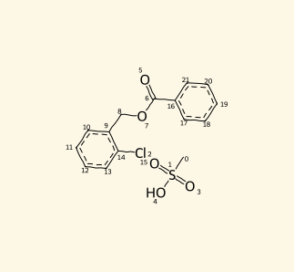 CS(=O)(=O)O.O=C(OCc1ccccc1Cl)c1ccccc1